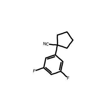 N#CC1(c2cc(F)cc(F)c2)CCCC1